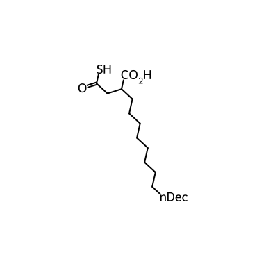 CCCCCCCCCCCCCCCCCCC(CC(=O)S)C(=O)O